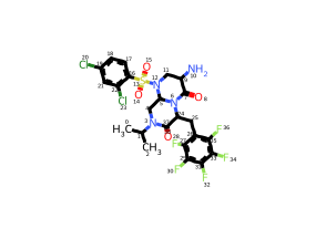 CC(C)N1CC2N(C(=O)C(N)CN2S(=O)(=O)c2ccc(Cl)cc2Cl)C(Cc2c(F)c(F)c(F)c(F)c2F)C1=O